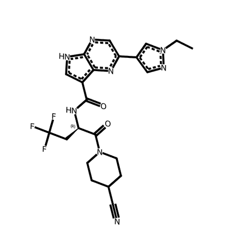 CCn1cc(-c2cnc3[nH]cc(C(=O)N[C@H](CC(F)(F)F)C(=O)N4CCC(C#N)CC4)c3n2)cn1